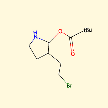 CC(C)(C)C(=O)OC1NCCC1CCBr